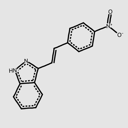 O=[N+]([O-])c1ccc(C=Cc2n[nH]c3ccccc23)cc1